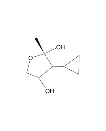 C[C@]1(O)OCC(O)C1=C1CC1